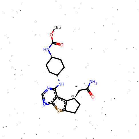 CC(C)(C)OC(=O)N[C@H]1CC[C@H](Nc2ncnc3sc4c(c23)[C@@H](CC(N)=O)CC4)CC1